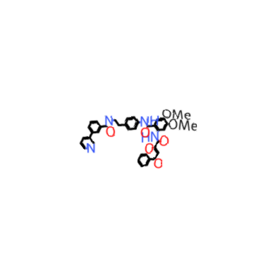 COc1cc(NC(=O)c2cc(=O)c3ccccc3o2)c(C(=O)Nc2ccc(CCN(C)C(=O)c3cccc(-c4cccnc4)c3)cc2)cc1OC